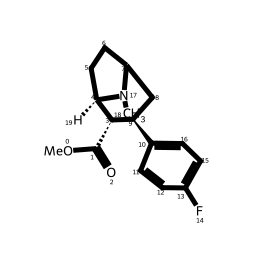 COC(=O)[C@@H]1[C@H]2CCC(C[C@H]1c1ccc(F)cc1)N2C